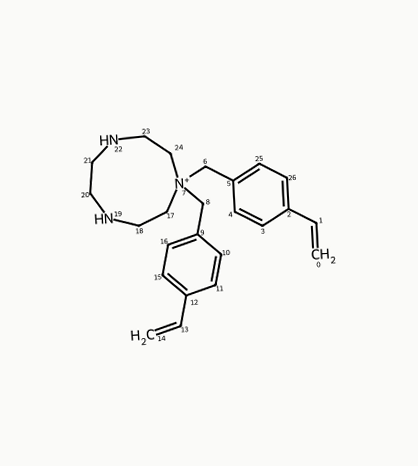 C=Cc1ccc(C[N+]2(Cc3ccc(C=C)cc3)CCNCCNCC2)cc1